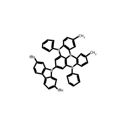 Cc1ccc2c(c1)B1c3cc(C)ccc3N(c3ccccc3)c3cc(-n4c5cc(C(C)(C)C)ccc5c5ccc(C(C)(C)C)cc54)cc(c31)N2c1ccccc1